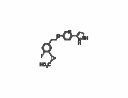 O=C(O)C1CC1c1cc(CCOc2ccc(C3=CCNN3)nc2)ccc1F